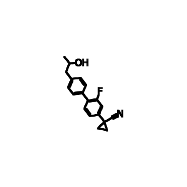 CC(O)Cc1ccc(-c2ccc(C3(C#N)CC3)cc2F)cc1